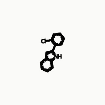 Clc1ccccc1-c1cc2ccccc2[nH]1